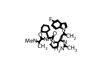 C=C(/C=C(\N=C(\C)N)C1CCCN1C(=O)C(NC(=O)C(C)NC)C1CCCCC1)n1ccc2cc(F)ccc21